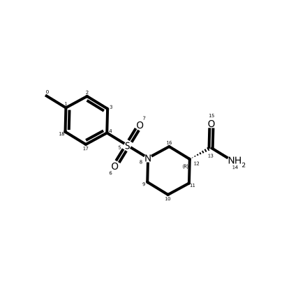 Cc1ccc(S(=O)(=O)N2CCC[C@@H](C(N)=O)C2)cc1